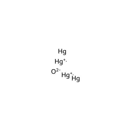 [Hg+].[Hg+].[Hg].[Hg].[O-2]